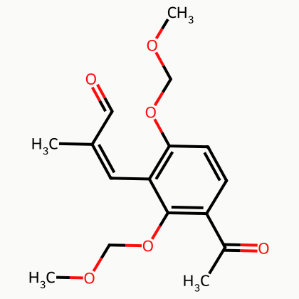 COCOc1ccc(C(C)=O)c(OCOC)c1C=C(C)C=O